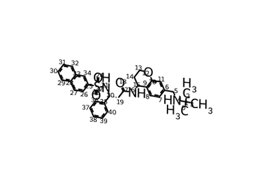 CC(C)(C)NCc1ccc2c(c1)OCCC2NC(=O)C[C@@H](NS(=O)(=O)c1ccc2ccccc2c1)c1ccccc1